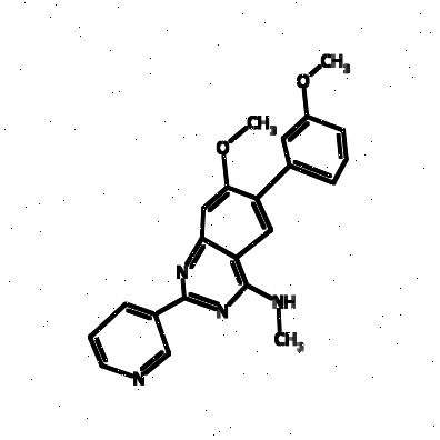 CNc1nc(-c2cccnc2)nc2cc(OC)c(-c3cccc(OC)c3)cc12